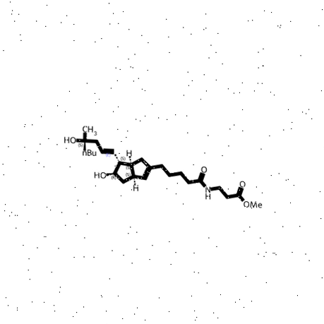 CCCC[C@](C)(O)C/C=C/[C@@H]1[C@H]2CC(CCCCC(=O)NCCC(=O)OC)=C[C@H]2C[C@H]1O